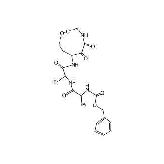 CC(C)C(NC(=O)OCc1ccccc1)C(=O)NC(C(=O)NC1CCOCCNC(=O)C1=O)C(C)C